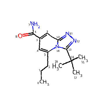 CCCc1cc(C(N)=O)cc2nnc(C(C)(C)C)n12